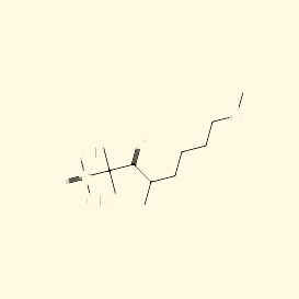 COCCCCC(C)C(=O)C(C)(C)P(=O)(O)O